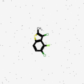 Cc1sc2ccc(Cl)c(F)c2c1Cl